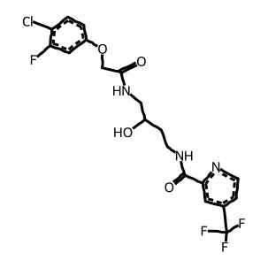 O=C(COc1ccc(Cl)c(F)c1)NCC(O)CCNC(=O)c1cc(C(F)(F)F)ccn1